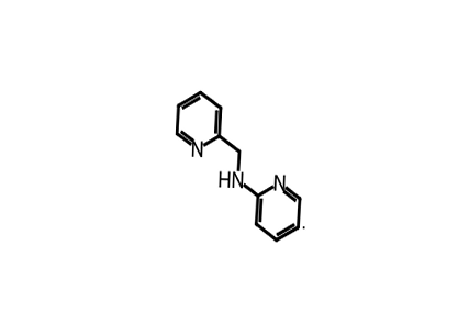 [c]1ccc(NCc2ccccn2)nc1